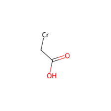 O=C(O)[CH2][Cr]